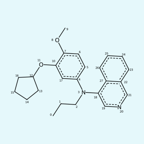 CCCN(c1ccc(OC)c(OC2CCCC2)c1)c1cncc2ccccc12